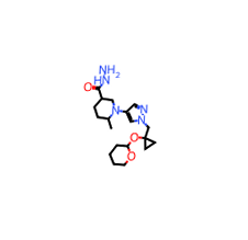 CC1CCC(C(=O)NN)CN1c1cnn(CC2(OC3CCCCO3)CC2)c1